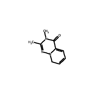 CC1=NN2CC=CC=C2C(=O)N1C